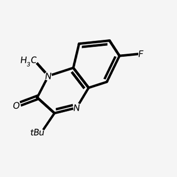 Cn1c(=O)c(C(C)(C)C)nc2cc(F)ccc21